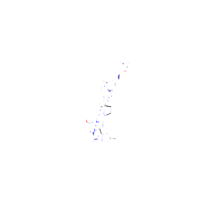 COC(=O)N[C@@H](CC/C=C/C(=O)N(C)C)C(=O)Nc1cccn(Cc2nc3c(CC(C)C)nc(C)nc3n2C(=O)O)c1=O